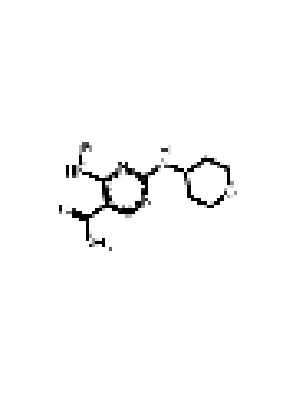 CC(C)Nc1nc(NC2CCOCC2)ncc1C(N)=O